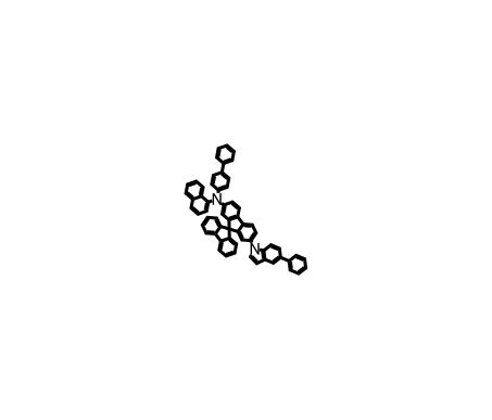 c1ccc(-c2ccc(N(c3ccc4c(c3)C3(c5ccccc5-c5ccccc53)c3cc(-n5ccc6cc(-c7ccccc7)ccc65)ccc3-4)c3cccc4ccccc34)cc2)cc1